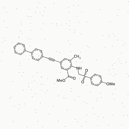 COC(=O)c1cc(C#Cc2ccc(-c3ccccc3)cc2)cc(C)c1NCS(=O)(=O)c1ccc(OC)cc1